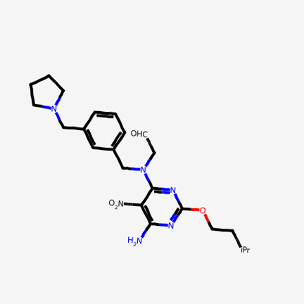 CC(C)CCOc1nc(N)c([N+](=O)[O-])c(N(CC=O)Cc2cccc(CN3CCCC3)c2)n1